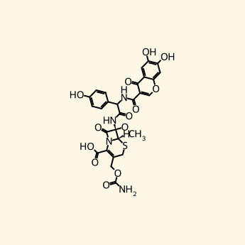 CO[C@@]1(NC(=O)C(NC(=O)c2coc3cc(O)c(O)cc3c2=O)c2ccc(O)cc2)C(=O)N2C(C(=O)O)=C(COC(N)=O)CS[C@H]21